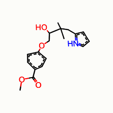 COC(=O)c1ccc(OCC(O)C(C)(C)Cc2ccc[nH]2)cc1